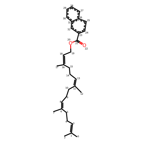 CC(C)=CCCC(C)=CCCC(C)=CCCC(C)=CCOC(=O)c1ccc2ccccc2c1